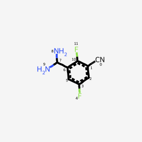 N#Cc1cc(F)cc(C(N)N)c1F